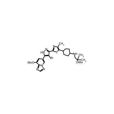 COc1cc(-c2[nH]nc(-c3nc(C)c(C4CCC(NCC(C)(C)OC)CC4)s3)c2C(C)C)cn2ncnc12